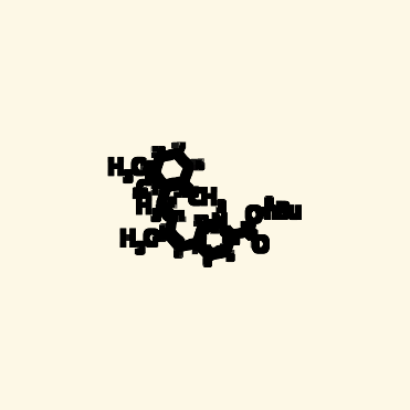 CCCCOC(=O)c1ccc(C=C(C)C=CC2=C(C)CCCC2(C)C)cn1